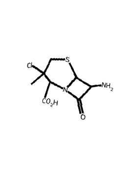 CC1(Cl)CSC2C(N)C(=O)N2C1C(=O)O